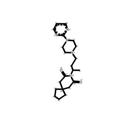 CC(CCN1CCN(c2ncccn2)CC1)N1C(=O)CC2(CCCC2)CC1=O